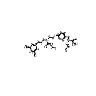 CCOC(=O)N(CCCc1cc(Cl)cc(Cl)c1)CCOc1ccc(CC(OCC)C(=O)O)cc1